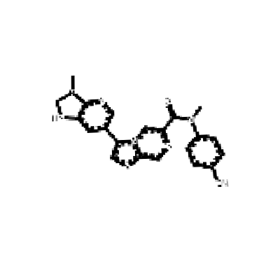 CN1CNc2cc(-c3cnc4cnc(C(=O)N(C)c5ccc(C#N)cc5)cn34)cnc21